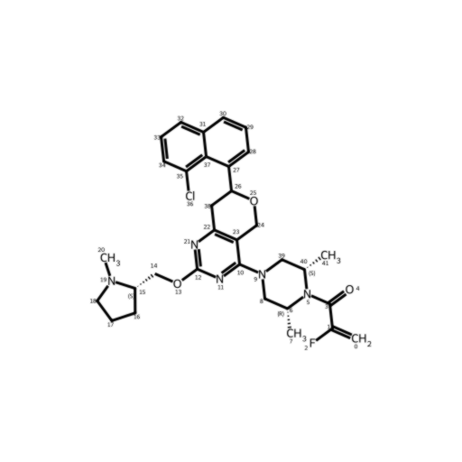 C=C(F)C(=O)N1[C@H](C)CN(c2nc(OC[C@@H]3CCCN3C)nc3c2COC(c2cccc4cccc(Cl)c24)C3)C[C@@H]1C